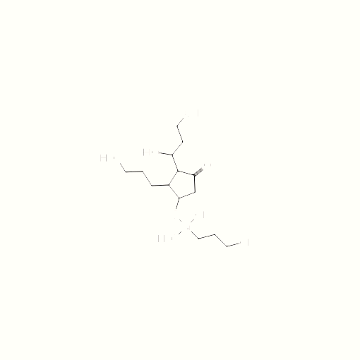 CCCCC1C(O[Si](C)(C)CCCC)CC(=O)C1C(O)CCC